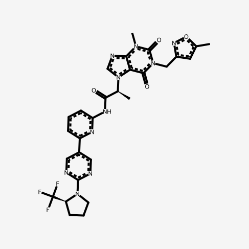 Cc1cc(Cn2c(=O)c3c(ncn3[C@@H](C)C(=O)Nc3cccc(-c4cnc(N5CCC[C@H]5C(F)(F)F)nc4)n3)n(C)c2=O)no1